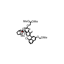 COCOc1cc(-c2ncc3c(N4CC5CCC(C4)N5C(=O)OC(C)(C)C)nc(OCC(OC)OC)nc3c2F)c2c(Cl)cccc2c1